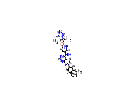 CC(C)(COc1ccc(Nc2ncnc3c2CCN(c2ccc(C#N)c(C(F)(F)F)c2)C3)cn1)n1cnnn1